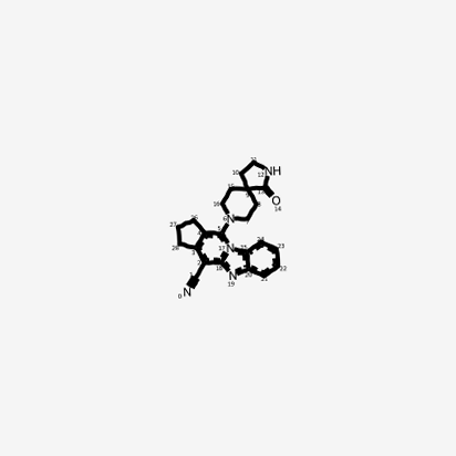 N#Cc1c2c(c(N3CCC4(CCNC4=O)CC3)n3c1nc1ccccc13)CCC2